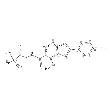 CC(C)Nc1c(C(=O)NC[C@@H](F)C(C)(C)O)cnn2cc(-c3ccc(F)cc3)cc12